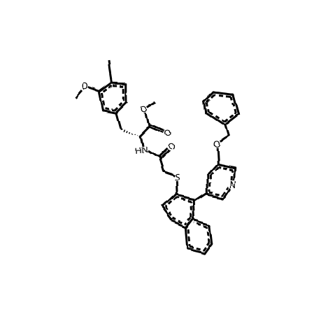 COC(=O)[C@@H](Cc1ccc(C)c(OC)c1)NC(=O)CSc1ccc2ccccc2c1-c1cncc(OCc2ccccc2)c1